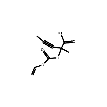 C=COC(=O)OC(C)(C#CC)C(=O)O